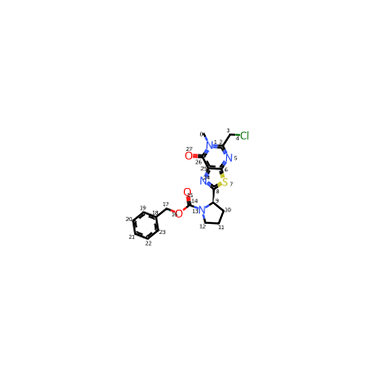 Cn1c(CCl)nc2sc([C@H]3CCCN3C(=O)OCc3ccccc3)nc2c1=O